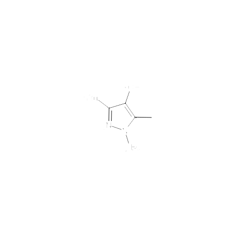 CCCCc1nn(C(C)CC)c(C)c1O